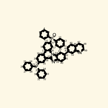 O=P(c1ccccc1)(c1ccccc1)c1ccc2c3ccc(P(c4ccccc4)c4ccccc4)cc3c3nc4ccc(-c5ccc6cccnc6c5)cc4n3c2c1